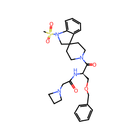 CS(=O)(=O)N1CC2(CCN(C(=O)[C@@H](COCc3ccccc3)NC(=O)CN3CCC3)CC2)c2ccccc21